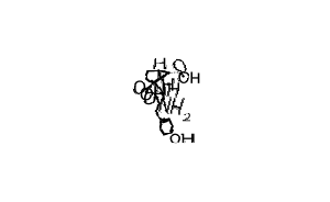 N[C@@H](Cc1ccc(O)cc1)C(=O)N[C@@]1(C(=O)O)CC[C@H]2[C@H](C(=O)O)[C@H]21